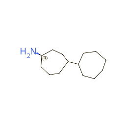 N[C@@H]1CCCC(C2CCCCCC2)CC1